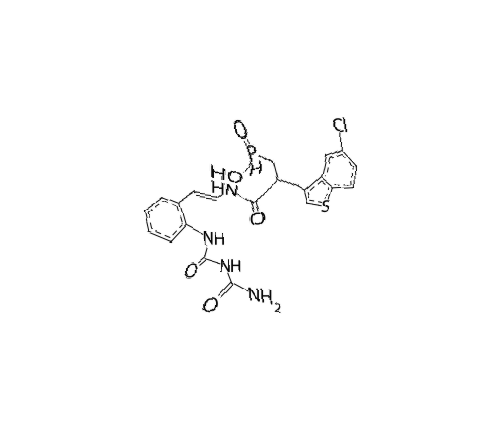 NC(=O)NC(=O)Nc1ccccc1/C=C/NC(=O)C(C[PH](=O)O)c1csc2ccc(Cl)cc12